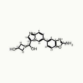 Nc1nc2cc(-c3ccc4ncc(C(O)N5CC(O)C5)n4c3)ccc2o1